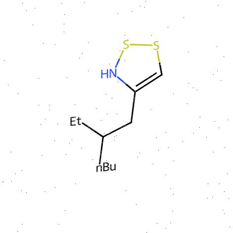 CCCCC(CC)CC1=CSSN1